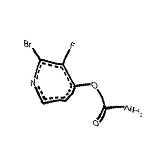 NC(=O)Oc1ccnc(Br)c1F